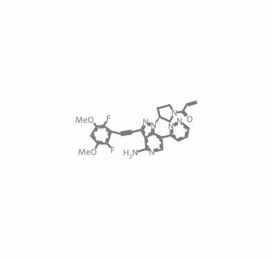 C=CC(=O)N1CC[C@H](n2nc(C#Cc3c(F)c(OC)cc(OC)c3F)c3c(N)ncc(-c4cccnn4)c32)C1